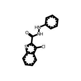 O=C(NNc1ccccc1)c1sc2ccccc2c1Cl